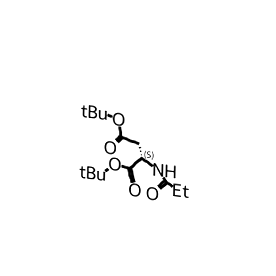 CCC(=O)N[C@@H](CC(=O)OC(C)(C)C)C(=O)OC(C)(C)C